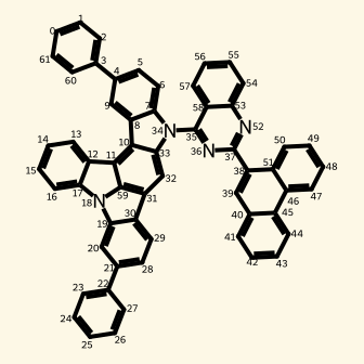 c1ccc(-c2ccc3c(c2)c2c4c5ccccc5n5c6cc(-c7ccccc7)ccc6c(cc2n3-c2nc(-c3cc6ccccc6c6ccccc36)nc3ccccc23)c45)cc1